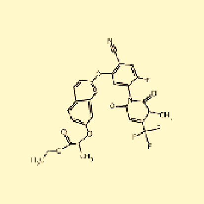 CCOC(=O)C(C)Oc1ccc2ccc(Oc3cc(-n4c(=O)cc(C(F)(F)F)n(C)c4=O)c(F)cc3C#N)cc2c1